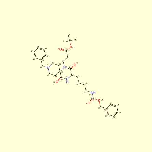 CC(C)(C)OC(=O)CCN1C(=O)C(CCCCNC(=O)OCc2ccccc2)NC(=O)C12CCN(Cc1ccccc1)CC2